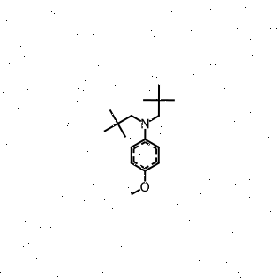 COc1ccc(N(CC(C)(C)C)CC(C)(C)C)cc1